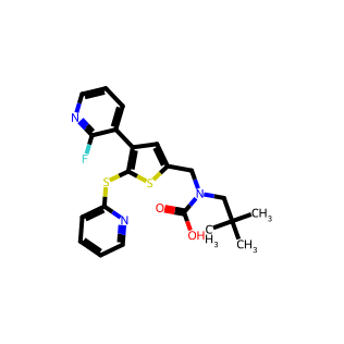 CC(C)(C)CN(Cc1cc(-c2cccnc2F)c(Sc2ccccn2)s1)C(=O)O